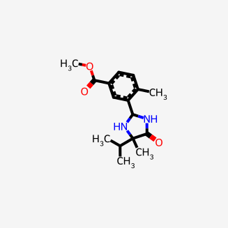 COC(=O)c1ccc(C)c(C2NC(=O)C(C)(C(C)C)N2)c1